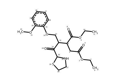 CCOC(=O)CC(C(=O)OCC)C(COc1ccccc1OC)C(=O)C1NCCS1